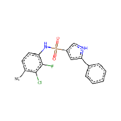 N#Cc1ccc(NS(=O)(=O)c2c[nH]c(-c3ccccc3)c2)c(F)c1Cl